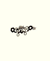 COc1ccc(Br)cc1COC(=O)c1cc2c(=O)n(Cc3ccccc3)c(=O)n(C)c2s1